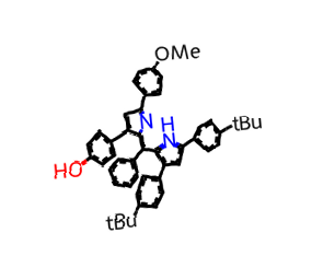 COc1ccc(C2=N/C(=C(/c3ccccc3)c3[nH]c(-c4ccc(C(C)(C)C)cc4)cc3-c3ccc(C(C)(C)C)cc3)C(c3ccc(O)cc3)=C2)cc1